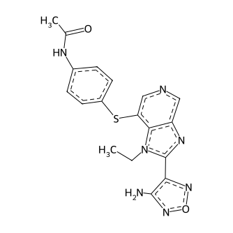 CCn1c(-c2nonc2N)nc2cncc(Sc3ccc(NC(C)=O)cc3)c21